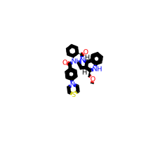 COC[C@@H]1Nc2ccccc2[C@H]2[C@H]1CCN2C(=O)[C@H]1CCCC[C@H]1NC(=O)c1ccc(N2CCSCC2)cc1